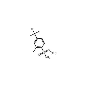 Cc1cc(C(C)(C)O)ccc1S(N)(=O)=NC=O